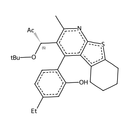 CCc1ccc(-c2c([C@H](OC(C)(C)C)C(C)=O)c(C)nc3sc4c(c23)CCCC4)c(O)c1